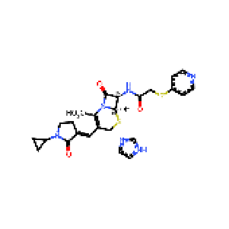 O=C(CSc1ccncc1)N[C@@H]1C(=O)N2C(C(=O)O)=C(C=C3CCN(C4CC4)C3=O)CS[C@H]12.c1c[nH]cn1